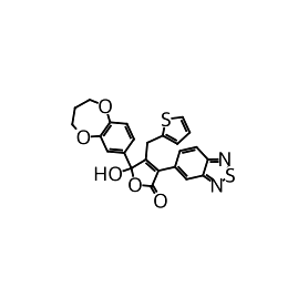 O=C1OC(O)(c2ccc3c(c2)OCCCO3)C(Cc2cccs2)=C1c1ccc2nsnc2c1